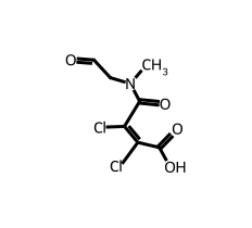 CN(CC=O)C(=O)/C(Cl)=C(/Cl)C(=O)O